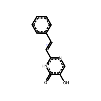 O=c1[nH]c(/C=C/c2ccccc2)ncc1O